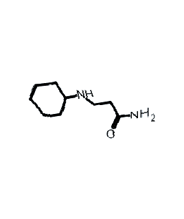 NC(=O)CCNC1CCCCC1